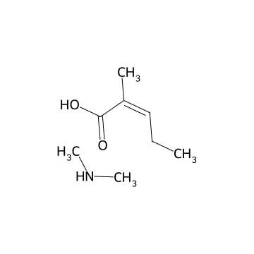 CCC=C(C)C(=O)O.CNC